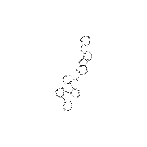 C1=c2c(ccc3c2=Cc2nc(Oc4ccccc4-c4ccccc4-c4ccccc4-c4ccccc4)ccc2-3)-c2ccccc21